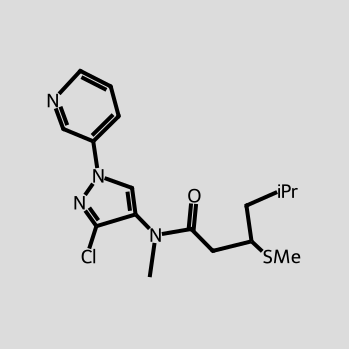 CSC(CC(=O)N(C)c1cn(-c2cccnc2)nc1Cl)CC(C)C